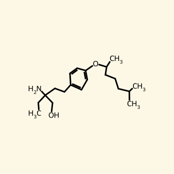 CCC(N)(CO)CCc1ccc(OC(C)CCCC(C)C)cc1